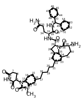 Cn1c(=O)n(C2CCC(=O)NC2=O)c2ccc(CCCCCc3cc4c5c(c3)C[C@@H](C(=O)N[C@@H](CCC(N)=O)C(=O)NC(c3ccccc3)c3ccccc3)N5C(=O)[C@@H](N)CC4)cc21